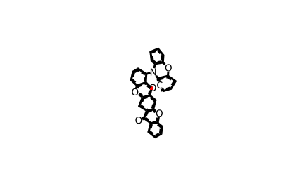 O=c1c2ccccc2oc2cc3c(=O)c4c(N5c6ccccc6Oc6ccccc65)cccc4oc3cc12